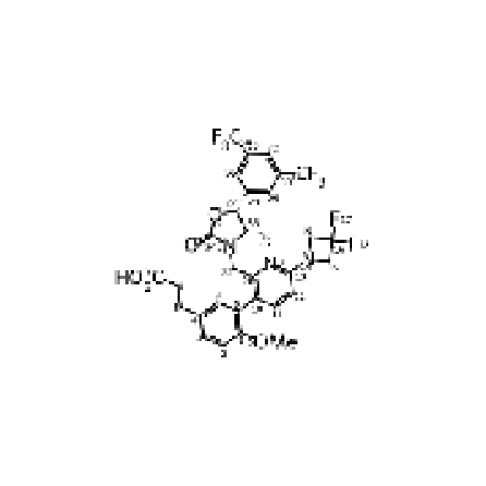 COc1ccc(CCC(=O)O)cc1-c1ccc(N2CC(F)(F)C2)nc1CN1C(=O)O[C@H](c2cc(C(F)(F)F)cc(C(F)(F)F)c2)[C@@H]1C